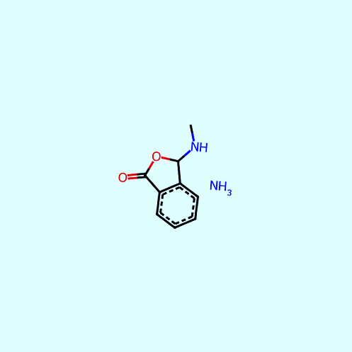 CNC1OC(=O)c2ccccc21.N